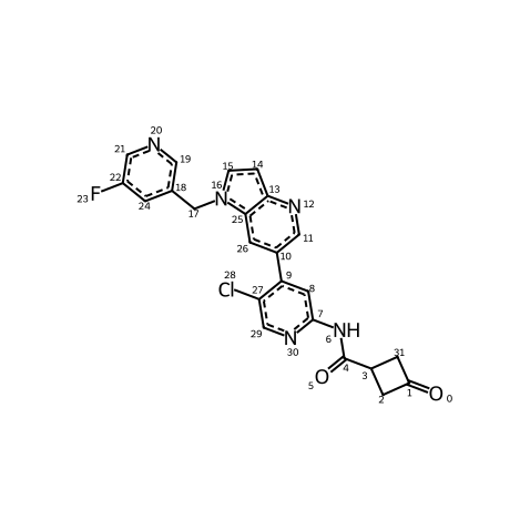 O=C1CC(C(=O)Nc2cc(-c3cnc4ccn(Cc5cncc(F)c5)c4c3)c(Cl)cn2)C1